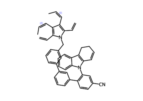 C=Cc1c(/C=C\C)c(/C=C\C)c(C=C)n1Cc1cccc(-c2cccc(-c3ccc(C#N)cc3-n3c4c(c5ccccc53)CCC=C4)c2)c1